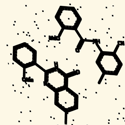 COc1ccccc1-c1nc2cc(C)ccc2c(=O)[nH]1.COc1ccccc1C(=O)Nc1cc(C)ccc1C#N